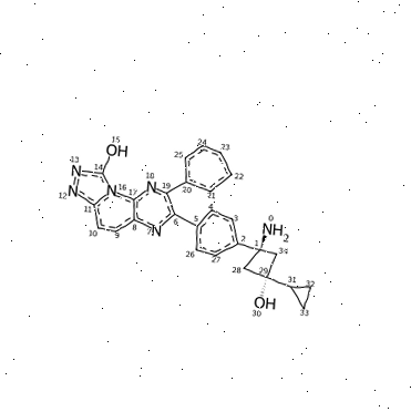 N[C@]1(c2ccc(-c3nc4ccc5nnc(O)n5c4nc3-c3ccccc3)cc2)C[C@](O)(C2CC2)C1